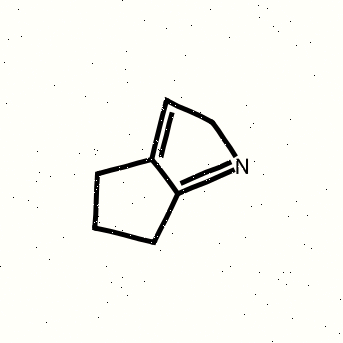 C1=C2CCCC2=NC1